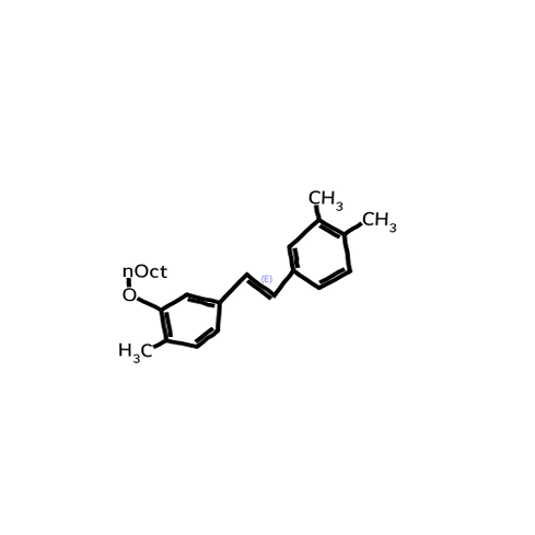 CCCCCCCCOc1cc(/C=C/c2ccc(C)c(C)c2)ccc1C